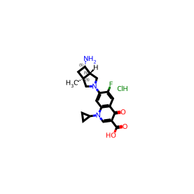 C[C@]12C[C@H](N)[C@@H]1CN(c1cc3c(cc1F)c(=O)c(C(=O)O)cn3C1CC1)C2.Cl